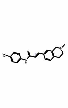 CN1CCc2ccc(/C=C/C(=O)Nc3ccc(Cl)cc3)cc2C1